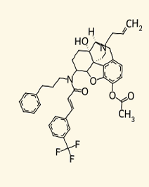 C=CCN1CC[C@]23c4c5ccc(OC(C)=O)c4OC2C(N(CCCc2ccccc2)C(=O)/C=C/c2cccc(C(F)(F)F)c2)CC[C@@]3(O)[C@H]1C5